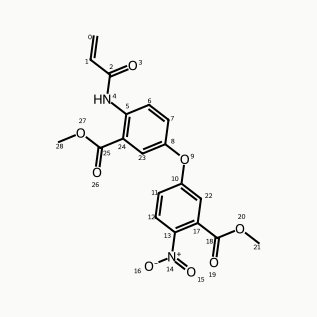 C=CC(=O)Nc1ccc(Oc2ccc([N+](=O)[O-])c(C(=O)OC)c2)cc1C(=O)OC